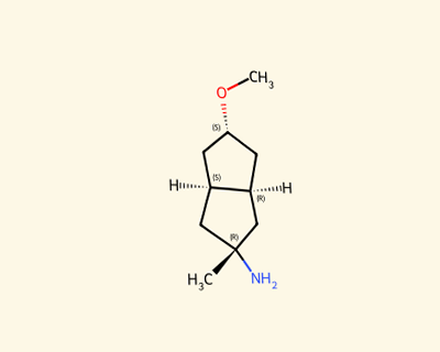 CO[C@H]1C[C@@H]2C[C@@](C)(N)C[C@@H]2C1